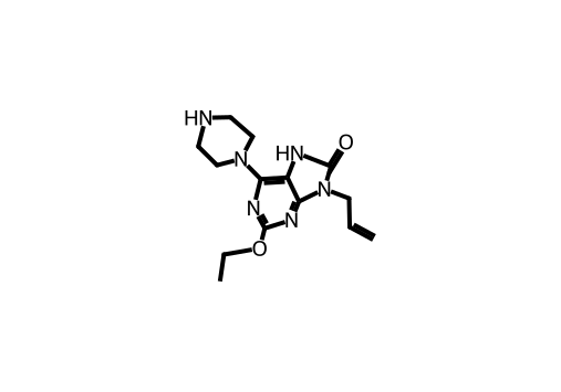 C=CCn1c(=O)[nH]c2c(N3CCNCC3)nc(OCC)nc21